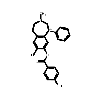 Cc1ccc(C(=O)Oc2cc3c(cc2Cl)CCN(C)C[C@H]3c2ccccc2)cc1